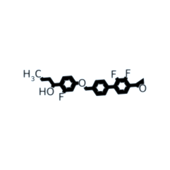 CCCC(O)c1ccc(OCc2ccc(-c3ccc(C4CO4)c(F)c3F)cc2)cc1F